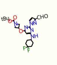 CC(C)(C)OC(=O)N1CC(Oc2cc(NC3CCC(F)(F)CC3)nc(-n3ccc(C=O)n3)n2)C1